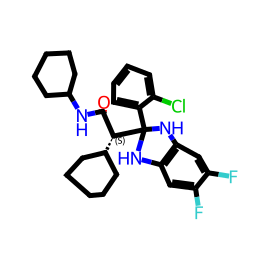 O=C(NC1CCCCC1)[C@@H](C1CCCCC1)C1(c2ccccc2Cl)Nc2cc(F)c(F)cc2N1